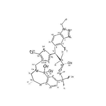 CCn1nnc2c(F)c([C@H](c3cc(CN4C[C@@H](C)Cc5ccc(C(F)(F)F)cc5S4(O)O)c(Cl)s3)C(C)(C)C(=O)O)ccc21